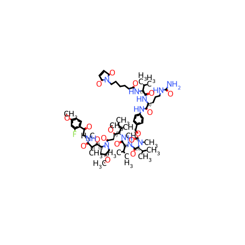 CC[C@H](C)[C@@H]([C@@H](CC(=O)N1C[C@H](OC)C[C@H]1[C@H](OC)[C@@H](C)C(=O)NCC(=O)c1ccc(OC)cc1F)OC)N(C)C(=O)[C@@H](NC(=O)[C@H](C(C)C)N(C)C(=O)OCc1ccc(NC(=O)[C@H](CCCNC(N)=O)NC(=O)[C@@H](NC(=O)CCCCCN2C(=O)C=CC2=O)C(C)C)cc1)C(C)C